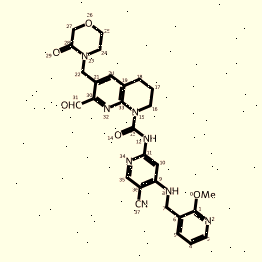 COc1ncccc1CNc1cc(NC(=O)N2CCCc3cc(CN4CCOCC4=O)c(C=O)nc32)ncc1C#N